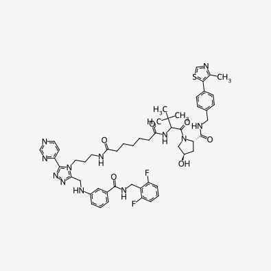 Cc1ncsc1-c1ccc(CNC(=O)[C@@H]2C[C@@H](O)CN2C(=O)C(NC(=O)CCCCCC(=O)NCCCn2c(CNc3cccc(C(=O)NCc4c(F)cccc4F)c3)nnc2-c2ccncn2)C(C)(C)C)cc1